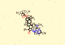 CO/C(=N\N(C)N(CCN(C)C)c1ncc(C#N)cn1)[C@@]12CC[C@]3(C)C(CC[C@@H]4C5(C)CC[C@H](OC(=O)CC(C)(C)C(=O)O)C(C)(C)[C@@H]5CC[C@]43C)C1=C(C(C)C)C(=O)C2